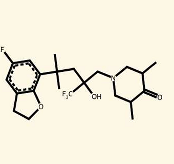 CC1CN(CC(O)(CC(C)(C)c2cc(F)cc3c2OCC3)C(F)(F)F)CC(C)C1=O